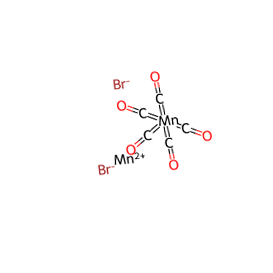 O=[C]=[Mn](=[C]=O)(=[C]=O)(=[C]=O)=[C]=O.[Br-].[Br-].[Mn+2]